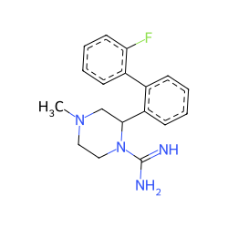 CN1CCN(C(=N)N)C(c2ccccc2-c2ccccc2F)C1